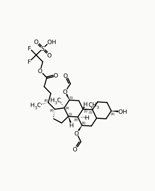 C[C@H](CCC(=O)OCC(F)(F)S(=O)(=O)O)[C@H]1CC[C@H]2[C@@H]3[C@H](OC=O)CC4C[C@H](O)CC[C@]4(C)[C@H]3C[C@H](OC=O)[C@]12C